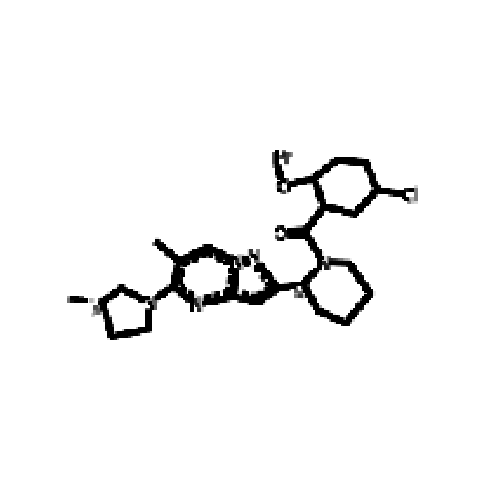 Cc1cn2nc([C@@H]3CCCCN3C(=O)C3CC(Cl)CCC3OC(C)C)cc2nc1N1CC[C@H](C)C1